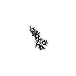 Cc1cc(Nc2ncc(F)c(-c3cnc(C)n3C3CCOCC3)n2)ccc1S(=O)(=O)N1CCN(C)CC1